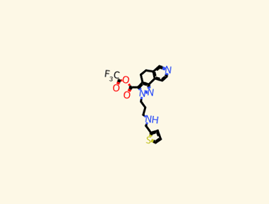 O=C(OC(=O)C(F)(F)F)c1c2c(nn1CCCNCc1cccs1)-c1ccncc1CC2